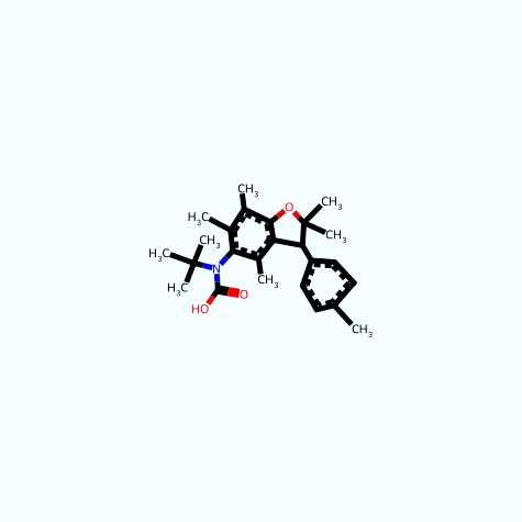 Cc1ccc(C2c3c(C)c(N(C(=O)O)C(C)(C)C)c(C)c(C)c3OC2(C)C)cc1